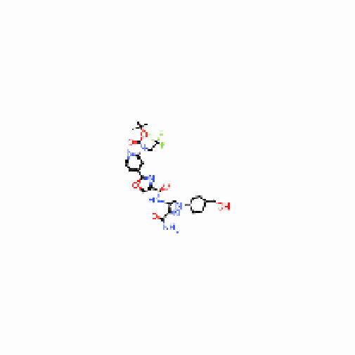 CC(C)(C)OC(=O)N(CC(F)(F)F)c1cc(-c2nc(C(=O)Nc3cn([C@H]4CC[C@H](CO)CC4)nc3C(N)=O)co2)ccn1